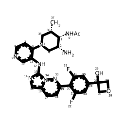 CC(=O)N[C@@H]1[C@H](N)CN(c2ccncc2Nc2ncc3ccc(-c4c(F)cc(C5(O)COC5)cc4F)nn23)C[C@@H]1C